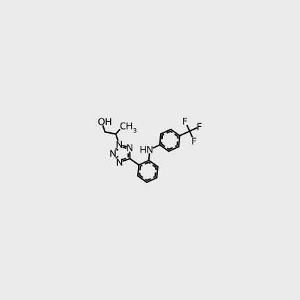 CC(CO)n1nnc(-c2ccccc2Nc2ccc(C(F)(F)F)cc2)n1